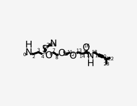 CNCCC[C@@H](OCCOCCOCCC(=O)NCC#CC(C)C)SC#N